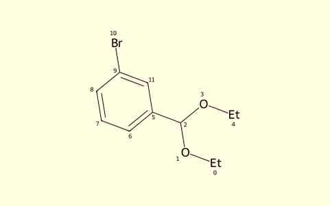 CCOC(OCC)c1cccc(Br)c1